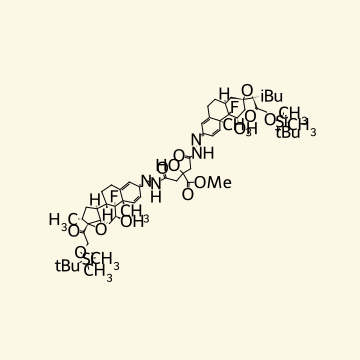 CC[C@@H](C)[C@@]1(C(=O)CO[Si](C)(C)C(C)(C)C)O[C@]12C[C@@H]1CCC3=C/C(=N/NC(=O)CC(O)(CC(=O)N/N=C4\C=C[C@@]5(C)C(=C4)CC[C@H]4[C@@H]6C[C@@H](C)[C@@]7(C(=O)CO[Si](C)(C)C(C)(C)C)O[C@]67C[C@H](O)[C@@]45F)C(=O)OC)C=C[C@]3(C)[C@@]1(F)[C@@H](O)C2